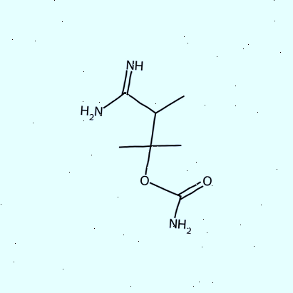 CC(C(=N)N)C(C)(C)OC(N)=O